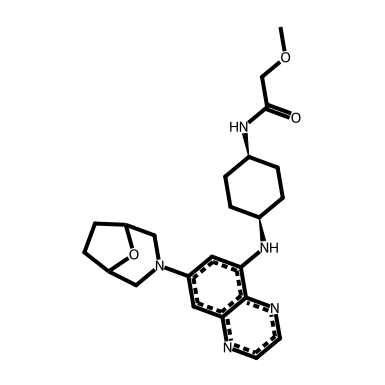 COCC(=O)N[C@H]1CC[C@@H](Nc2cc(N3CC4CCC(C3)O4)cc3nccnc23)CC1